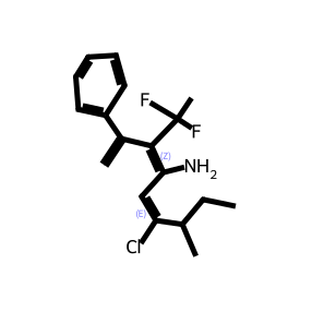 C=C(/C(=C(N)\C=C(\Cl)C(C)CC)C(C)(F)F)c1ccccc1